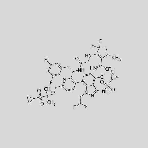 C[C@H]1CC(F)(F)C(NCC(=O)N[C@@H](Cc2cc(F)cc(F)c2)c2nc(CCC(C)(C)S(=O)(=O)C3CC3)ccc2-c2ccc(Cl)c3c(NS(=O)(=O)C4CC4)nn(CC(F)F)c23)=C1C(=N)C(F)(F)F